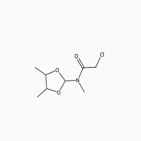 CC1OC(N(C)C(=O)CCl)OC1C